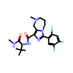 CNC(=O)[C@@H](NC(=O)c1nc(-c2cc(F)c(F)cc2F)n2c1CN(C)CCC2)C(C)(C)C